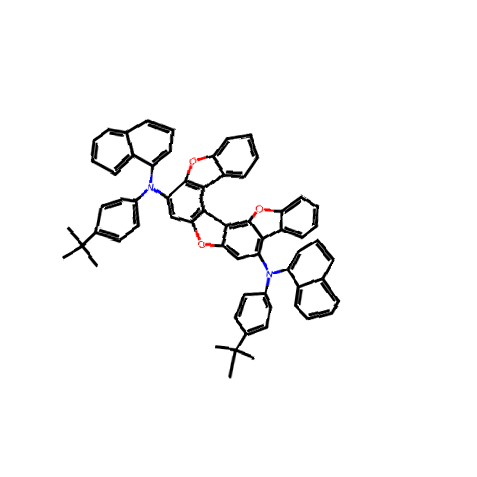 CC(C)(C)c1ccc(N(c2cccc3ccccc23)c2cc3oc4cc(N(c5ccc(C(C)(C)C)cc5)c5cccc6ccccc56)c5c6ccccc6oc5c4c3c3c2oc2ccccc23)cc1